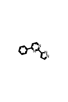 C1=N[N]C(c2nccc(-c3ccccc3)n2)=C1